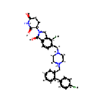 O=C1CCC(N2Cc3c(ccc(CN4CCN(Cc5ccccc5-c5ccc(F)cc5)CC4)c3F)C2=O)C(=O)N1